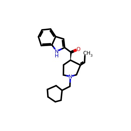 C/C=C1/CN(CC2CCCCC2)CC[C@H]1C(=O)c1cc2ccccc2[nH]1